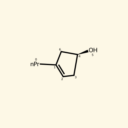 CCCC1=CC[C@H](O)C1